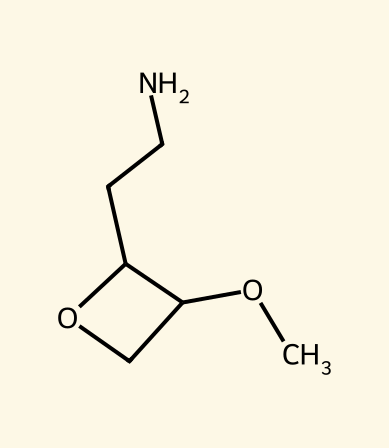 COC1COC1CCN